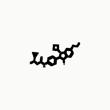 CCOc1ccc2c(c1)N(C1CCC1)C(c1ccc(NC(=O)OC(C)C3CC3)cc1)C2I